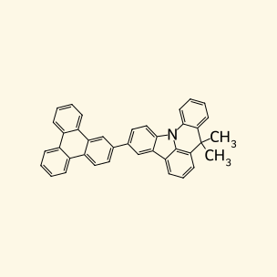 CC1(C)c2ccccc2-n2c3ccc(-c4ccc5c6ccccc6c6ccccc6c5c4)cc3c3cccc1c32